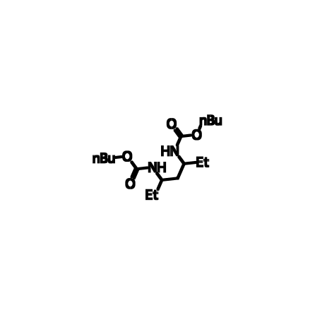 [CH2]CC(CC(C[CH2])NC(=O)OCCCC)NC(=O)OCCCC